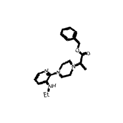 CCNc1cccnc1N1CCN(C(C)C(=O)OCc2ccccc2)CC1